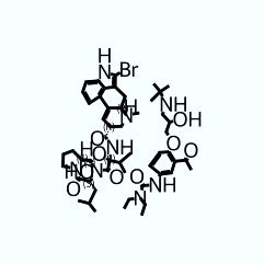 CC(C)C[C@H]1C(=O)N2CCC[C@H]2[C@]2(O)O[C@](NC(=O)[C@@H]3C=C4c5cccc6[nH]c(Br)c(c56)C[C@H]4N(C)C3)(C(C)C)C(=O)N12.CCN(CC)C(=O)Nc1ccc(OCC(O)CNC(C)(C)C)c(C(C)=O)c1